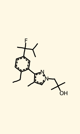 CCc1ccc(C(C)(F)C(C)C)cc1-c1nn(CC(C)(C)O)cc1C